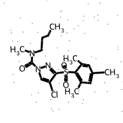 CCCCN(C)C(=O)n1cc(Cl)c(S(=O)(=O)c2c(C)cc(C)cc2C)n1